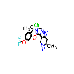 CC(c1ccc(OC(F)F)cc1)N1CCn2nc3c(c2C1=O)CN[C@H](C)C3.Cl